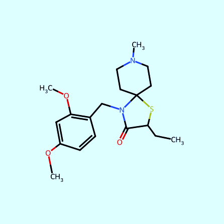 CCC1SC2(CCN(C)CC2)N(Cc2ccc(OC)cc2OC)C1=O